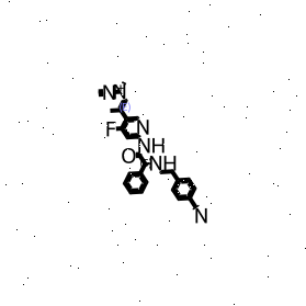 C#[N+]N(C)/C=C(\C)c1cnc(NC(=O)[C@@H](NCCc2ccc(C#N)cc2)c2ccccc2)cc1F